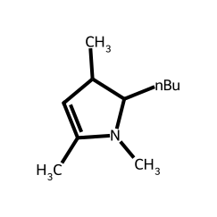 CCCCC1C(C)C=C(C)N1C